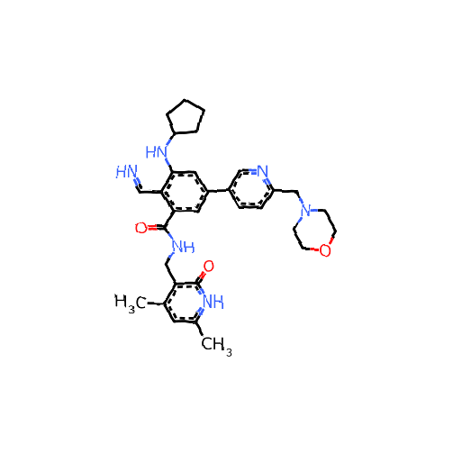 Cc1cc(C)c(CNC(=O)c2cc(-c3ccc(CN4CCOCC4)nc3)cc(NC3CCCC3)c2C=N)c(=O)[nH]1